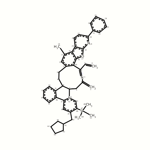 C=C/C1=N/C(=C)CC2C(CCc3cc(C)c4c(oc5nc(-c6ccccc6)ccc54)c31)c1ccccc1-c1cc(CC3CCCC3)c([Si](C)(C)C)c[n+]12